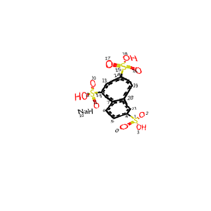 O=S(=O)(O)c1ccc2c(S(=O)(=O)O)cc(S(=O)(=O)O)cc2c1.[NaH]